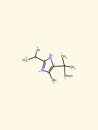 CCCCCC(C)(C)c1[nH]c(C(C)C(C)C)nc1C(C)CC